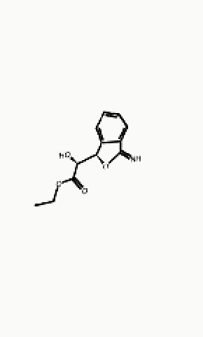 CCOC(=O)[C@@H](O)[C@@H]1OC(=N)c2ccccc21